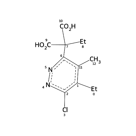 CCc1c(Cl)nnc(C(CC)(C(=O)O)C(=O)O)c1C